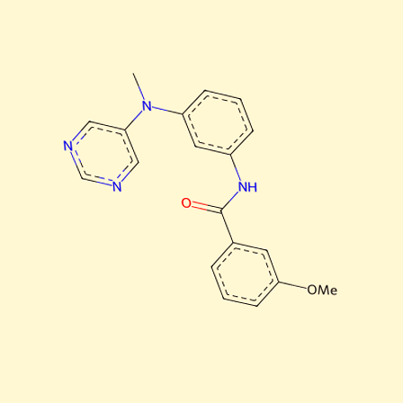 COc1cccc(C(=O)Nc2cccc(N(C)c3cncnc3)c2)c1